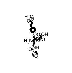 COC(=O)CCc1ccc(OCC(O)C(N)CCNC(=O)N2CCOCC2)cc1.O=C(O)C(=O)O